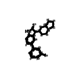 S=C1Nc2ccc(-c3cccc(I)c3)cc2C1C1CCN2CCCC2C1